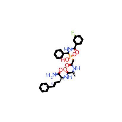 C[C@H](NC(=O)CP(=O)(O)C(NC(=O)c1cccc(F)c1)c1ccccc1)C(=O)N[C@@H](C/C=C/c1ccccc1)C(N)=O